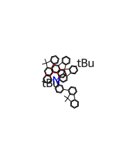 CC(C)(C)c1ccc2c(c1)C1(c3ccccc3-c3ccc(-c4ccccc4N(c4cccc(-c5cccc6c5C(C)(C)c5ccccc5-6)c4)c4ccccc4-c4cccc5c4-c4ccccc4C5(C)C)cc31)c1cc(C(C)(C)C)ccc1-2